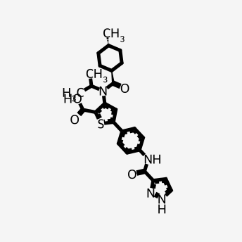 CC(C)N(c1cc(-c2ccc(NC(=O)c3cc[nH]n3)cc2)sc1C(=O)O)C(=O)[C@H]1CC[C@H](C)CC1